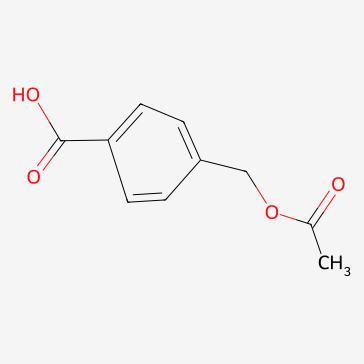 CC(=O)OCc1ccc(C(=O)O)cc1